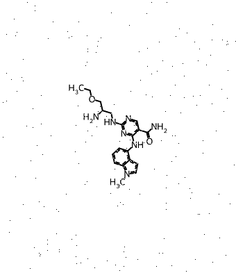 CCOC[C@H](N)CNc1ncc(C(N)=O)c(Nc2cccc3c2ccn3C)n1